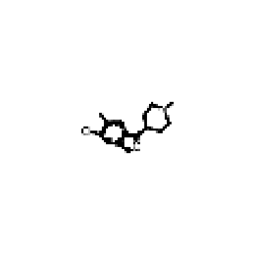 Cc1cc2c(C3CCN(C)CC3)occ2cc1Cl